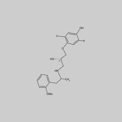 COc1ccccc1CC(C)NC[C@H](O)COc1cc(F)c(O)cc1F